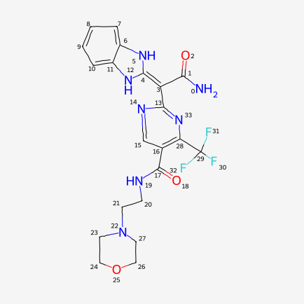 NC(=O)C(=C1Nc2ccccc2N1)c1ncc(C(=O)NCCN2CCOCC2)c(C(F)(F)F)n1